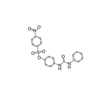 O=C(Nc1ccccc1)Nc1ccc(OS(=O)(=O)c2ccc([N+](=O)[O-])cc2)cc1